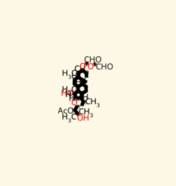 CC(=O)O[C@@H]([C@H]1C[C@@H](C)[C@H]2[C@H](O1)[C@H](O)[C@@]1(C)[C@@H]3CC[C@H]4C(C)(C)[C@@H](O[C@@H](C=O)OCC=O)CC[C@@]45C[C@@]35CC[C@]21C)C(C)(C)O